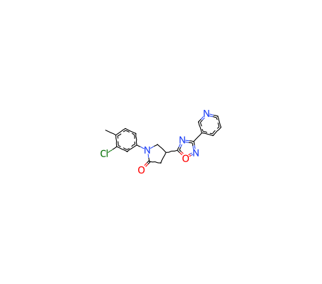 Cc1ccc(N2CC(c3nc(-c4cccnc4)no3)CC2=O)cc1Cl